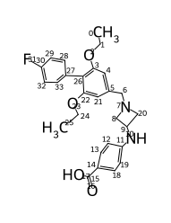 CCOc1cc(CN2CC(Nc3ccc(C(=O)O)cc3)C2)cc(OCC)c1-c1ccc(F)cc1